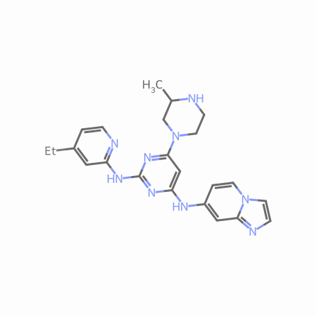 CCc1ccnc(Nc2nc(Nc3ccn4ccnc4c3)cc(N3CCNC(C)C3)n2)c1